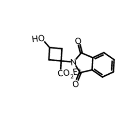 CCOC(=O)C1(N2C(=O)c3ccccc3C2=O)CC(O)C1